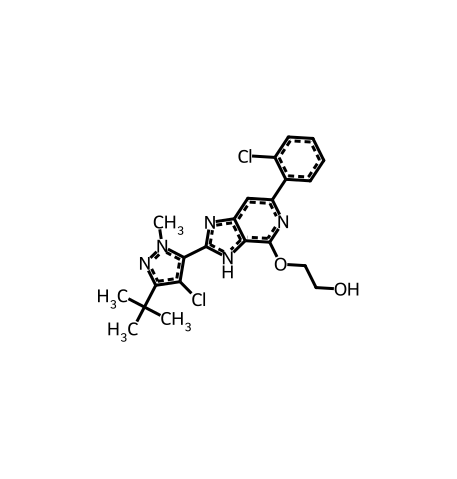 Cn1nc(C(C)(C)C)c(Cl)c1-c1nc2cc(-c3ccccc3Cl)nc(OCCO)c2[nH]1